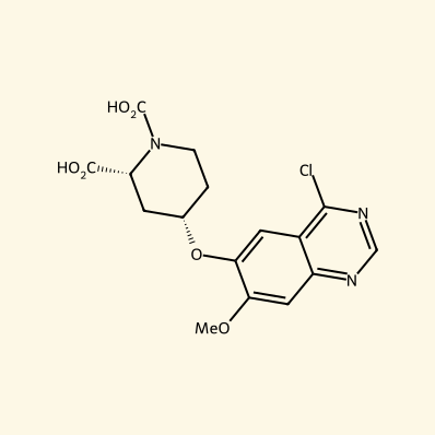 COc1cc2ncnc(Cl)c2cc1O[C@H]1CCN(C(=O)O)[C@@H](C(=O)O)C1